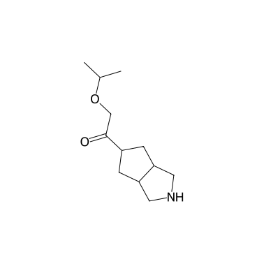 CC(C)OCC(=O)C1CC2CNCC2C1